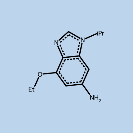 CCOc1cc(N)cc2c1ncn2C(C)C